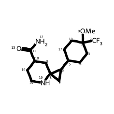 COC1(C(F)(F)F)CCC(C2CC23CC(C(N)=O)CCN3)CC1